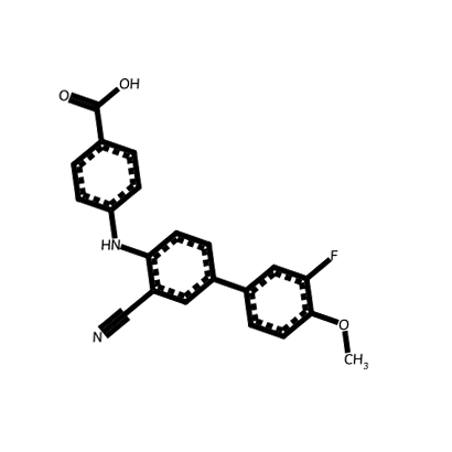 COc1ccc(-c2ccc(Nc3ccc(C(=O)O)cc3)c(C#N)c2)cc1F